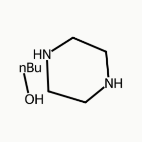 C1CNCCN1.CCCCO